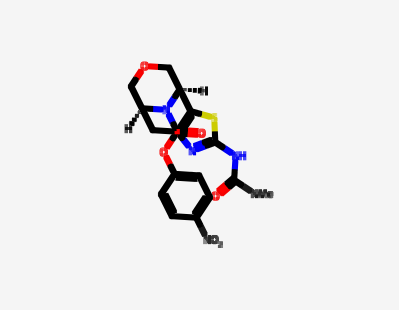 CNC(=O)Nc1nc2c(s1)[C@@H]1COC[C@H](C2)N1C(=O)Oc1ccc([N+](=O)[O-])cc1